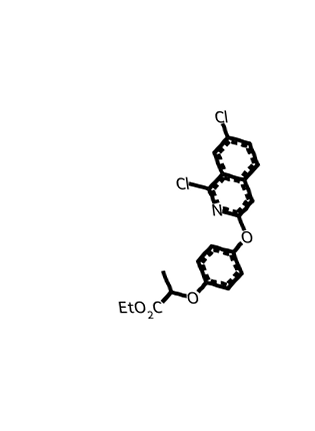 CCOC(=O)C(C)Oc1ccc(Oc2cc3ccc(Cl)cc3c(Cl)n2)cc1